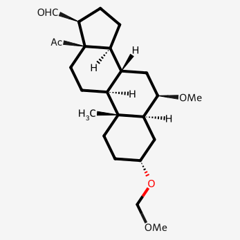 COCO[C@@H]1CC[C@@]2(C)[C@H](C1)[C@H](OC)C[C@@H]1[C@@H]2CC[C@]2(C(C)=O)[C@@H](C=O)CC[C@@H]12